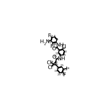 Nc1c(F)ccc(NC(=O)c2cc(NC(=O)C3C(c4ccc(F)c(I)c4)C3(Cl)Cl)ccc2Cl)c1F